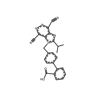 CC(C)c1nc2c(C#N)nnc(C#N)c2n1Cc1ccc(-c2ccccc2C(=O)O)cc1